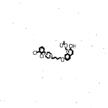 CC(=O)OCN1c2cc(OCCCCN3CCN(c4cccc(Cl)c4Cl)CC3)ccc2C=CC1O